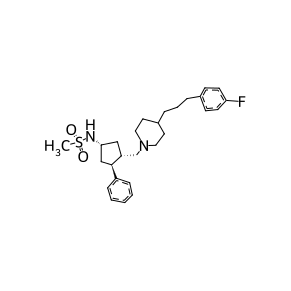 CS(=O)(=O)N[C@@H]1C[C@H](CN2CCC(CCCc3ccc(F)cc3)CC2)[C@@H](c2ccccc2)C1